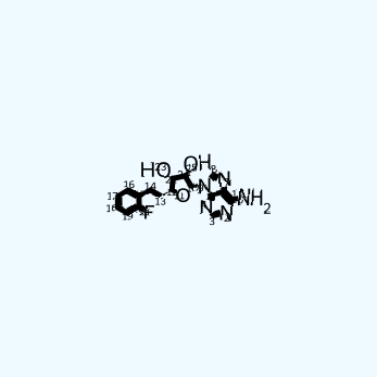 Nc1ncnc2c1ncn2[C@@H]1O[C@H](CCc2ccccc2F)[C@@H](O)[C@H]1O